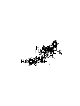 CN[C@H](C(=O)NC(C(=O)N(C)C/C=C(\C)C(=O)NS(=O)(=O)c1ccc(O)cc1)C(C)(C)C)C(C)(C)c1ccccc1